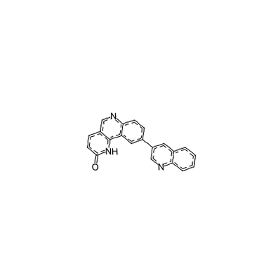 O=c1ccc2cnc3ccc(-c4cnc5ccccc5c4)cc3c2[nH]1